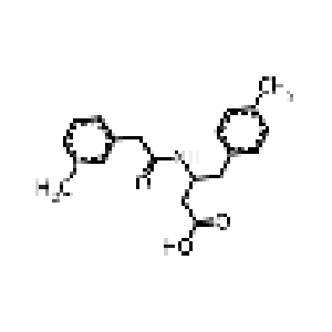 Cc1ccc(CC(CC(=O)O)NC(=O)Cc2cccc(C)c2)cc1